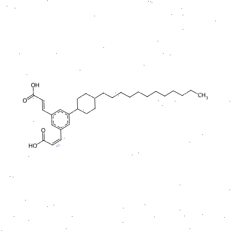 CCCCCCCCCCCCC1CCC(c2cc(C=CC(=O)O)cc(/C=C\C(=O)O)c2)CC1